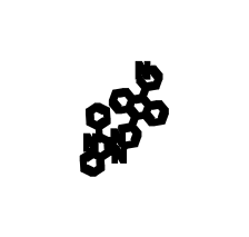 c1ccc(-c2nc3ccccc3c3nc4ccc(-c5c6ccccc6c(-c6cccnc6)c6ccccc56)cn4c23)cc1